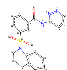 O=C(Nc1cccnn1)c1cccc(S(=O)(=O)N2CCCc3ccccc32)c1